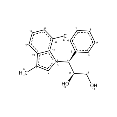 Cc1cn([C@@H](c2ccccc2)[C@H](O)CO)c2c(Cl)cccc12